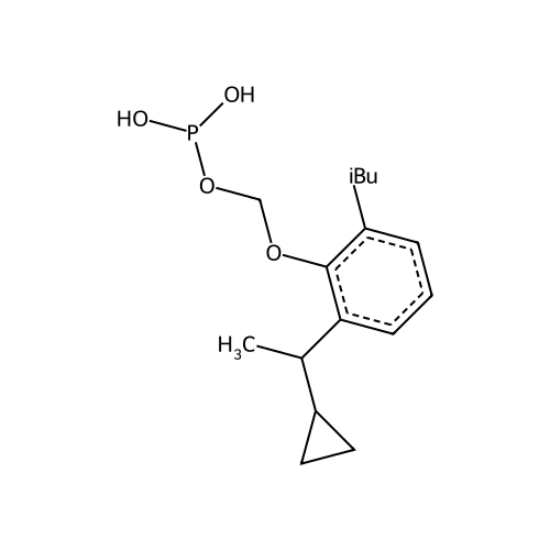 CCC(C)c1cccc(C(C)C2CC2)c1OCOP(O)O